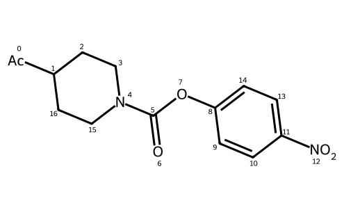 CC(=O)C1CCN(C(=O)Oc2ccc([N+](=O)[O-])cc2)CC1